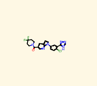 O=C(c1cnc2c(ccn2-c2ccc(Cl)c(-c3nnc[nH]3)c2)c1)N1CCC(F)(F)CC1